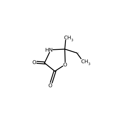 C[CH]C1(C)NC(=O)C(=O)O1